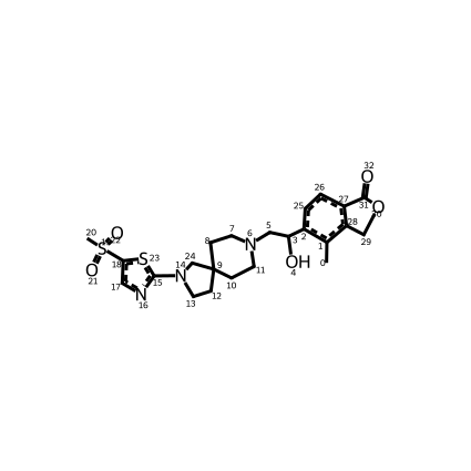 Cc1c(C(O)CN2CCC3(CC2)CCN(c2ncc(S(C)(=O)=O)s2)C3)ccc2c1COC2=O